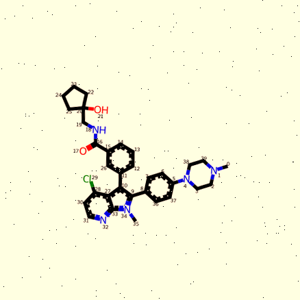 CN1CCN(c2ccc(-c3c(-c4cccc(C(=O)NCC5(O)CCCC5)c4)c4c(Cl)ccnc4n3C)cc2)CC1